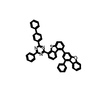 c1ccc(-c2ccc(-c3nc(-c4ccccc4)nc(-c4cccc5c4sc4cccc(-c6cc(-c7ccccc7)c7c(c6)oc6ccccc67)c45)n3)cc2)cc1